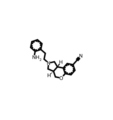 N#Cc1ccc2c(c1)[C@H]1CN(CCc3ccccc3N)C[C@@H]1CO2